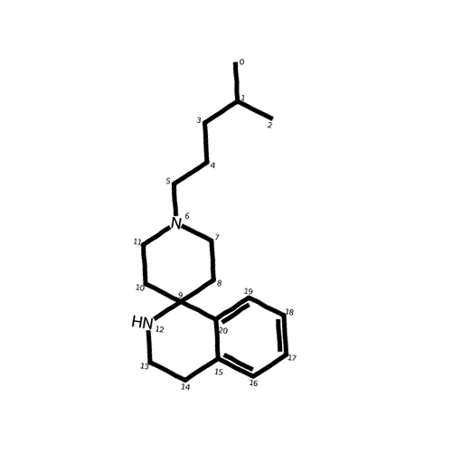 CC(C)CCCN1CCC2(CC1)NCCc1ccccc12